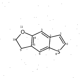 c1cc2cc3c(cc2s1)CCO3